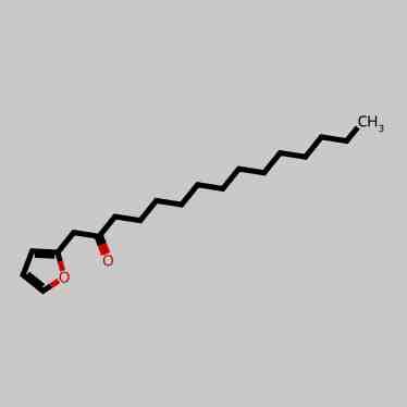 CCCCCCCCCCCCCC(=O)Cc1ccco1